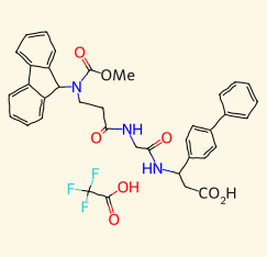 COC(=O)N(CCC(=O)NCC(=O)NC(CC(=O)O)c1ccc(-c2ccccc2)cc1)C1c2ccccc2-c2ccccc21.O=C(O)C(F)(F)F